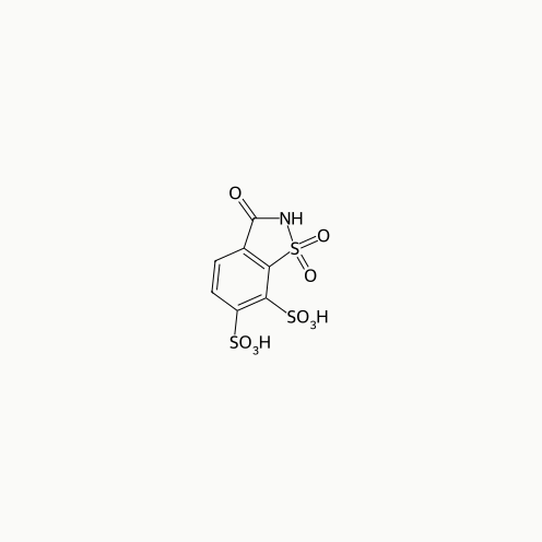 O=C1NS(=O)(=O)c2c1ccc(S(=O)(=O)O)c2S(=O)(=O)O